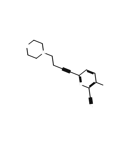 N#Cc1nc(C#CCCN2CCOCC2)ccc1F